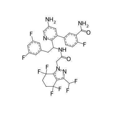 NC(=O)c1cc(-c2cc(N)cnc2C(Cc2cc(F)cc(F)c2)NC(=O)Cn2nc(C(F)F)c3c2C(F)(F)CCC3(F)F)ccc1F